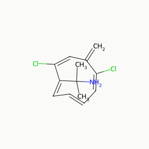 C=C1\C=C(Cl)/C(C(C)(C)N)=C/C=C/C=C\1Cl